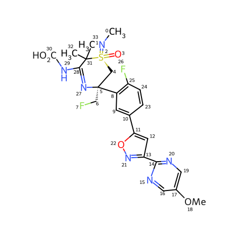 CN=[S@@]1(=O)C[C@@](CF)(c2cc(-c3cc(-c4ncc(OC)cn4)no3)ccc2F)N=C(NC(=O)O)C1(C)C